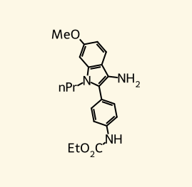 CCCn1c(-c2ccc(NC(=O)OCC)cc2)c(N)c2ccc(OC)cc21